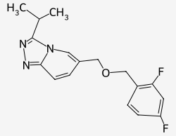 CC(C)c1nnc2ccc(COCc3ccc(F)cc3F)cn12